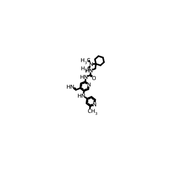 Cc1cc(Nc2cnc(NC(=O)NCC3(N(C)C)CCCCC3)cc2C=N)ccn1